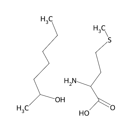 CCCCCC(C)O.CSCCC(N)C(=O)O